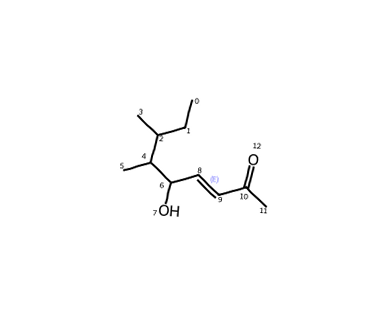 CCC(C)C(C)C(O)/C=C/C(C)=O